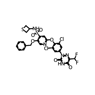 O=c1[nH]c(=O)n(-c2cc(Cl)c(Oc3cc(S(=O)(=O)NC4CSC4)c(OCc4ccccc4)cn3)c(Cl)c2)nc1C(F)F